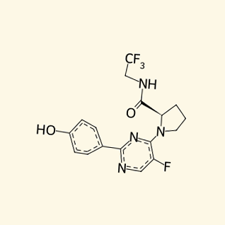 O=C(NCC(F)(F)F)[C@H]1CCCN1c1nc(-c2ccc(O)cc2)ncc1F